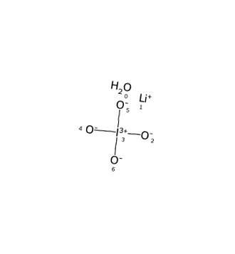 O.[Li+].[O-][I+3]([O-])([O-])[O-]